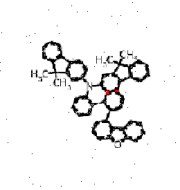 CC1(C)c2ccccc2-c2ccc(N(c3ccc4c(c3)C(C)(C)c3ccccc3-4)c3ccccc3-c3ccccc3-c3cccc4oc5ccccc5c34)cc21